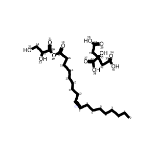 CCCCCCCC/C=C\CCCCCCCC(=O)OC(=O)C(O)CO.O=C(O)CC(O)(CC(=O)O)C(=O)O